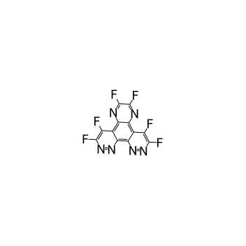 Fc1nc2c(nc1F)c1c(F)c(F)nnc1c1nnc(F)c(F)c12